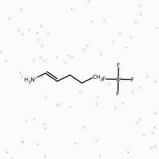 CCCC=C[NH3+].F[B-](F)(F)F